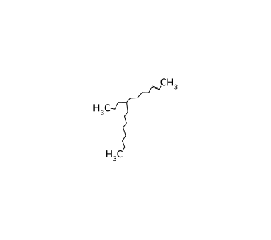 CC=CCCCCC(CCC)CCCCCCCC